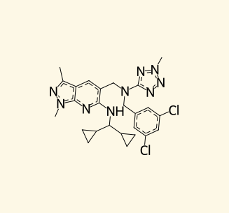 Cc1nn(C)c2nc(NC(C3CC3)C3CC3)c(CN(Cc3cc(Cl)cc(Cl)c3)c3nnn(C)n3)cc12